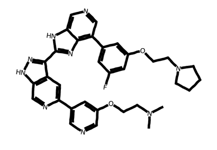 CN(C)CCOc1cncc(-c2cc3c(-c4nc5c(-c6cc(F)cc(OCCN7CCCC7)c6)cncc5[nH]4)n[nH]c3cn2)c1